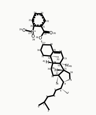 CC(C)CCC[C@@H](C)[C@H]1CC[C@H]2[C@@H]3CC=C4C[C@@H](OC(=O)c5ccccc5[N+](=O)[O-])CC[C@]4(C)[C@H]3CC[C@]12C